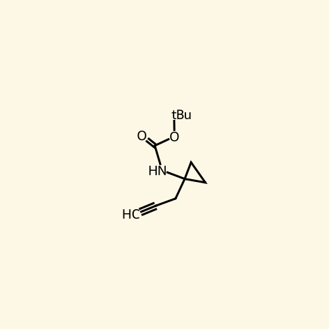 C#CCC1(NC(=O)OC(C)(C)C)CC1